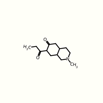 CCC(=O)C1CC2CN(C)CCC2CC1=O